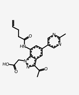 C=CCCC(=O)Nc1cc(-c2cnc(C)nc2)cc2c(C(C)=O)nn(CC(=O)O)c12